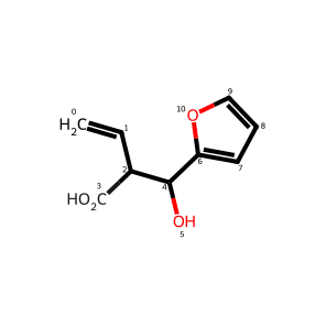 C=CC(C(=O)O)C(O)c1ccco1